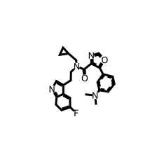 CN(C)c1cccc(-c2ocnc2C(=O)N(CCC2=CN=C3CC=C(F)C=C23)CC2CC2)c1